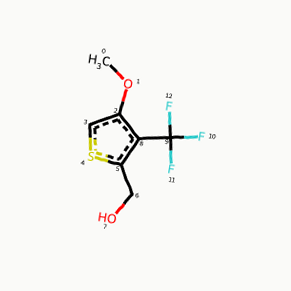 COc1csc(CO)c1C(F)(F)F